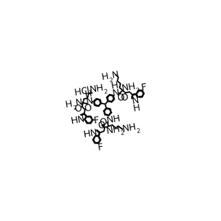 Cl.NCCCC[C@@](N)(C(=O)Cc1c[nH]c2ccc(F)cc12)C(=O)Nc1ccc(C(c2ccc(NC(=O)[C@@](N)(CCCCN)C(=O)Cc3c[nH]c4ccc(F)cc34)cc2)c2ccc(NC(=O)[C@@](N)(CCCCN)C(=O)Cc3c[nH]c4ccc(F)cc34)cc2)cc1